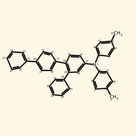 Cc1ccc(N(c2ccc(C)cc2)c2ccc(-c3ccc(-c4ccccc4)cc3)c(-c3ccccc3)c2)cc1